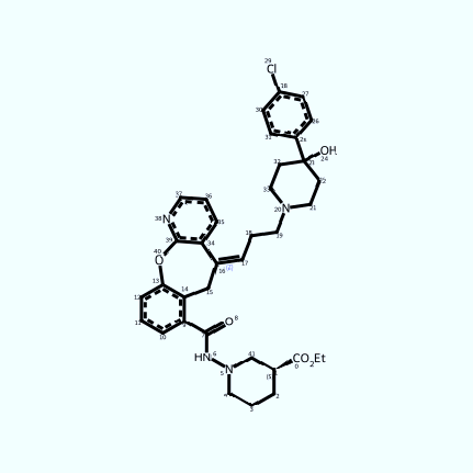 CCOC(=O)[C@H]1CCCN(NC(=O)c2cccc3c2C/C(=C/CCN2CCC(O)(c4ccc(Cl)cc4)CC2)c2cccnc2O3)C1